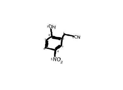 N#CCc1cc([N+](=O)[O-])ccc1O